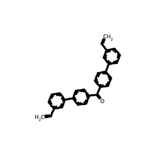 C=Cc1cccc(-c2ccc(C(=O)c3ccc(-c4cccc(C=C)c4)cc3)cc2)c1